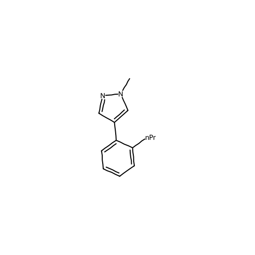 CCCc1ccccc1-c1cnn(C)c1